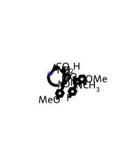 COc1ccc(CN2CCCCC/C=C/C3CC3(C(=O)O)NC(=O)C3CC(Oc4nc(-c5ccc(F)cc5)nc5c(C)c(OC)ccc45)CN3C2=O)cc1